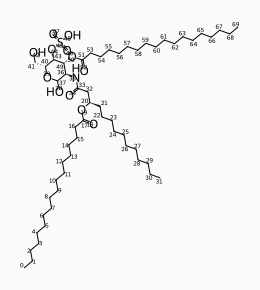 CCCCCCCCCCCCCCCCCC(=O)O[C@H](CCCCCCCCCCC)CC(=O)N[C@H]1C(O)O[C@H](CO)[C@@H](OS(=O)(=O)O)[C@@H]1OC(=O)CCCCCCCCCCCCCCCCC